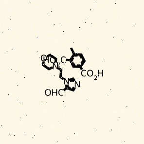 Cc1ccc(C(=O)O)cc1C(=O)O.O=Cc1cncn1CCN1CCOCC1